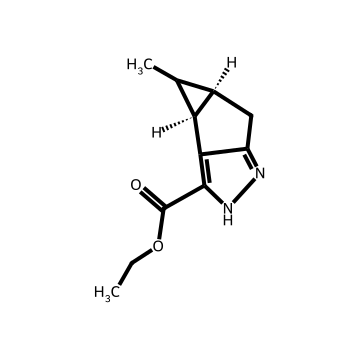 CCOC(=O)c1[nH]nc2c1[C@H]1C(C)[C@H]1C2